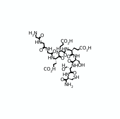 NCC(=O)NCC(=O)NCC(=O)N[C@@H](CCC(=O)O)C(=O)N[C@@H](CCC(=O)O)C(=O)N[C@@H](CCC(=O)O)C(=O)N[C@@H](CO)C(=O)N[C@@H](CO)C(=O)N[C@@H](CS)C(N)=O